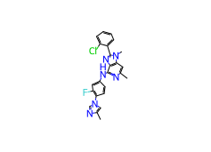 Cc1cn(-c2ccc(Nc3nc(C)cc4c3nc(-c3ccccc3Cl)n4C)cc2F)cn1